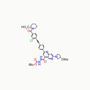 COC1CCN(c2cc3nc(-c4ccc(C#Cc5ccc(C(=O)N6CCCC[C@H]6C(=O)O)cc5Cl)cc4)cc(C(=O)NNC(=O)OC(C)(C)C)c3cn2)C1